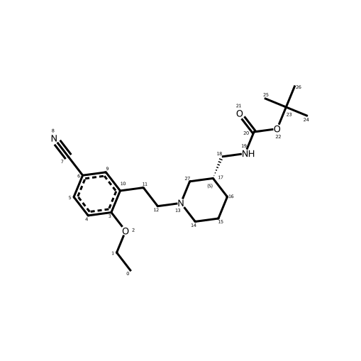 CCOc1ccc(C#N)cc1CCN1CCC[C@@H](CNC(=O)OC(C)(C)C)C1